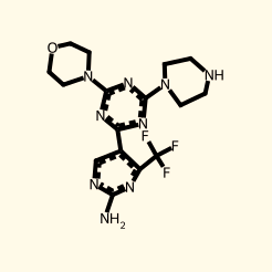 Nc1ncc(-c2nc(N3CCNCC3)nc(N3CCOCC3)n2)c(C(F)(F)F)n1